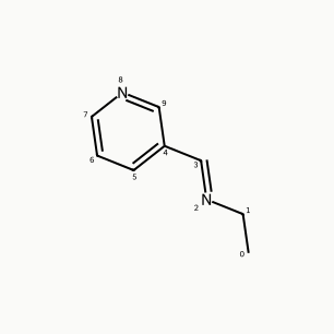 CCN=Cc1cccnc1